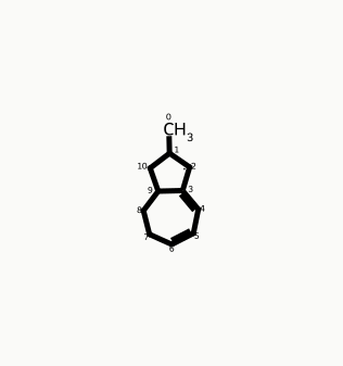 CC1[C]C2=CC=CCCC2C1